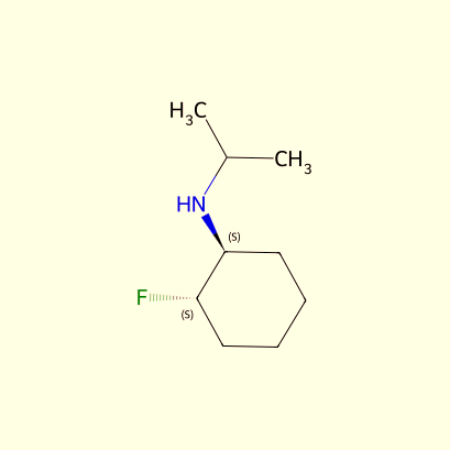 CC(C)N[C@H]1CCCC[C@@H]1F